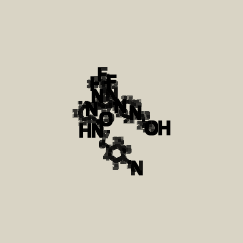 N#Cc1ccc(CCNC(=O)C2CCCN2c2cc(N3CCN(CCO)CC3)nc(C(F)(F)F)n2)cc1